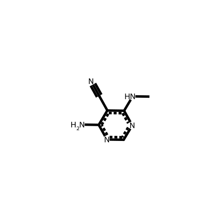 CNc1ncnc(N)c1C#N